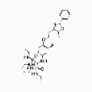 CCNP(=O)(NCC)C(Nc1ccc(OCCc2nc(-c3ccccc3)oc2C)c(F)c1)P(=O)(NCC)NCC